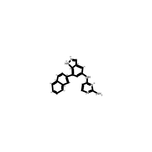 Nc1nccc(Nc2cc(-c3ccc4ccccc4c3)c3[nH]ncc3c2)n1